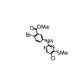 COC(=O)c1cc(Nc2ncc(Cl)c(SC)n2)ccc1Br